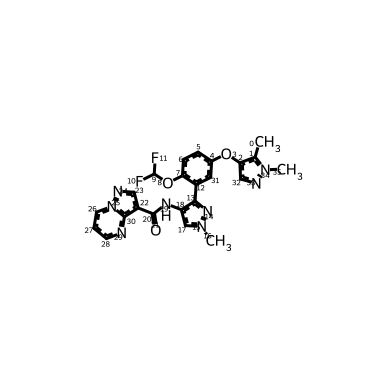 Cc1c(Oc2ccc(OC(F)F)c(-c3nn(C)cc3NC(=O)c3cnn4cccnc34)c2)cnn1C